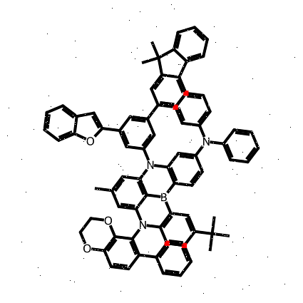 Cc1cc2c3c(c1)N(c1c(-c4ccccc4)ccc4c1OCCO4)c1ccc(C(C)(C)C)cc1B3c1ccc(N(c3ccccc3)c3ccccc3)cc1N2c1cc(-c2ccc3c(c2)C(C)(C)c2ccccc2-3)cc(-c2cc3ccccc3o2)c1